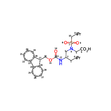 CC(C)CC(CN(CC(=O)O)S(=O)(=O)CC(C)C)NC(=O)OCC1c2ccccc2-c2ccccc21